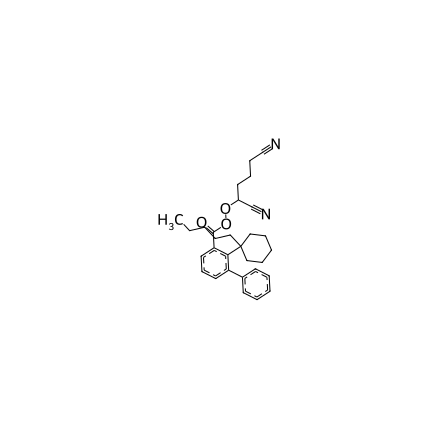 CCCCCC1(c2c(C(=O)OOC(C#N)CCCC#N)cccc2-c2ccccc2)CCCCC1